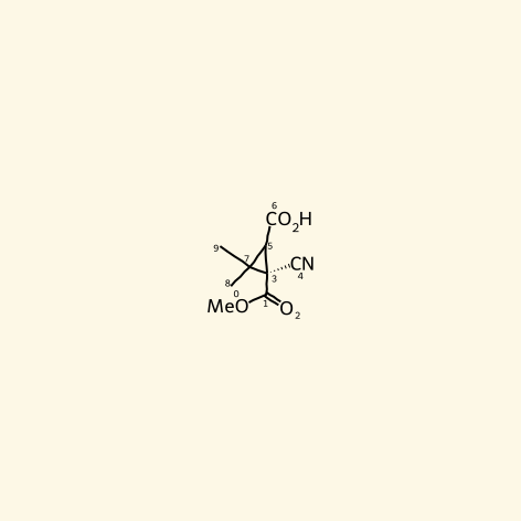 COC(=O)[C@]1(C#N)C(C(=O)O)C1(C)C